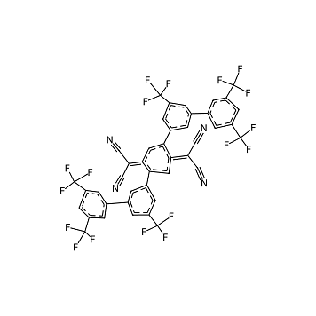 N#CC(C#N)=c1cc(-c2cc(-c3cc(C(F)(F)F)cc(C(F)(F)F)c3)cc(C(F)(F)F)c2)c(=C(C#N)C#N)cc1-c1cc(-c2cc(C(F)(F)F)cc(C(F)(F)F)c2)cc(C(F)(F)F)c1